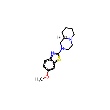 COc1ccc2nc(N3CCN4CCCC[C@@H]4C3)sc2c1